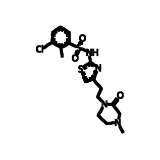 Cc1c(Cl)cccc1S(=O)(=O)Nc1nc(CCN2CCN(C)CC2=O)cs1